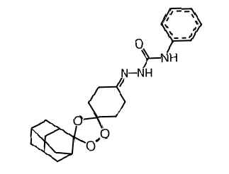 O=C(NN=C1CCC2(CC1)OOC1(O2)C2CC3CC(C2)CC1C3)Nc1ccccc1